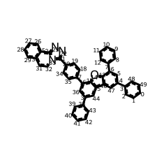 c1ccc(-c2cc(-c3ccccc3)c3oc4c(-c5ccc(-c6nnc7c8ccccc8ccn67)cc5)cc(-c5ccccc5)cc4c3c2)cc1